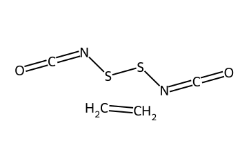 C=C.O=C=NSSN=C=O